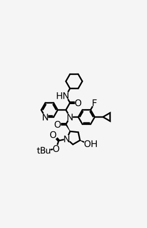 CC(C)(C)OC(=O)N1C[C@H](O)C[C@@H]1C(=O)N(c1ccc(C2CC2)c(F)c1)C(C(=O)NC1CCCCC1)c1cccnc1